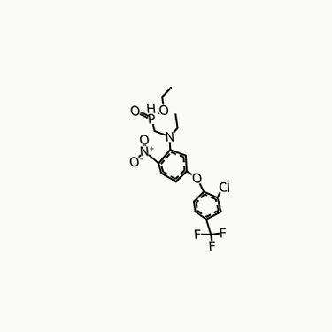 CCO[PH](=O)CN(CC)c1cc(Oc2ccc(C(F)(F)F)cc2Cl)ccc1[N+](=O)[O-]